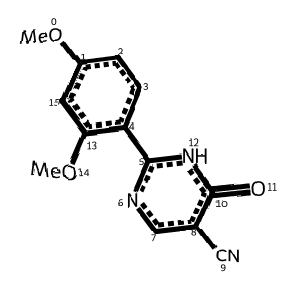 COc1ccc(-c2ncc(C#N)c(=O)[nH]2)c(OC)c1